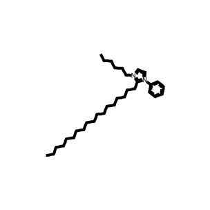 CCCCCCCCCCCCCCCCCCc1n(-c2ccccc2)cc[n+]1CCCCCC